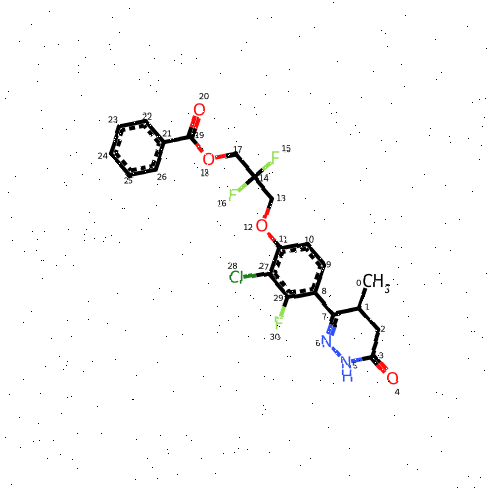 CC1CC(=O)NN=C1c1ccc(OCC(F)(F)COC(=O)c2ccccc2)c(Cl)c1F